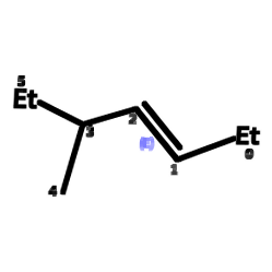 CC/C=C/[C](C)CC